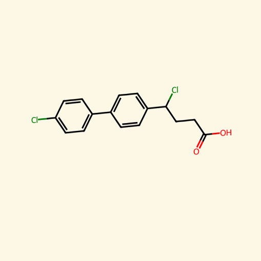 O=C(O)CCC(Cl)c1ccc(-c2ccc(Cl)cc2)cc1